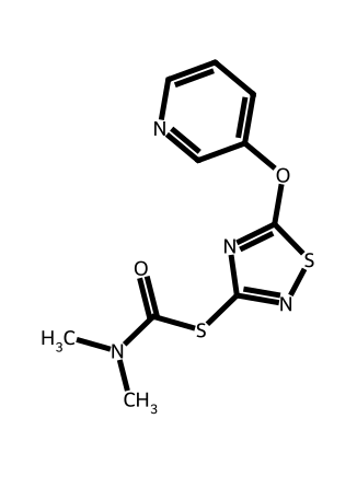 CN(C)C(=O)Sc1nsc(Oc2cccnc2)n1